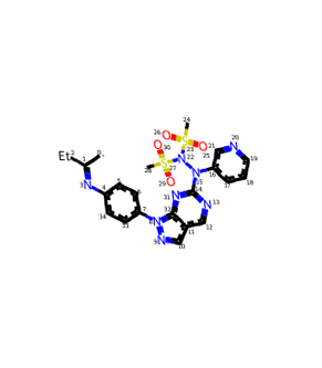 [CH2]C(CC)=Nc1ccc(-n2ncc3cnc(N(c4cccnc4)N(S(C)(=O)=O)S(C)(=O)=O)nc32)cc1